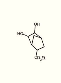 CCOC(=O)C1CC2CC1C(O)C2O